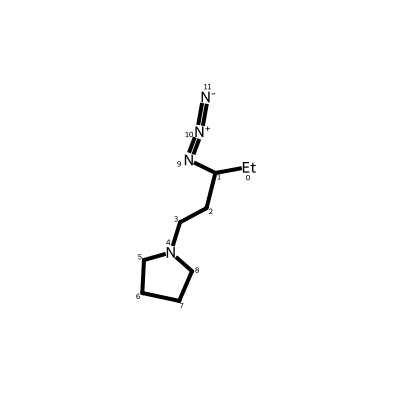 CCC(CCN1CCCC1)N=[N+]=[N-]